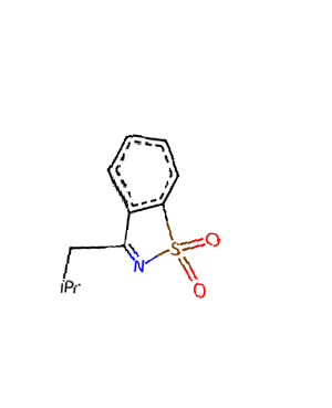 CC(C)CC1=NS(=O)(=O)c2ccccc21